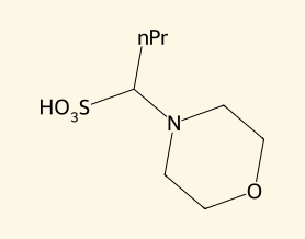 CCCC(N1CCOCC1)S(=O)(=O)O